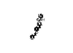 O=C(Nc1cccnn1)N1CCC(=Cc2cccc(OCCc3cccnc3)c2)CC1